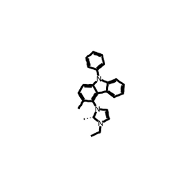 CCN1C=CN(c2c(C)ccc3c2c2ccccc2n3-c2ccccc2)[C@H]1C